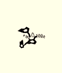 CNC(=O)c1cccc(-c2ccccc2)c1NCc1ccccc1